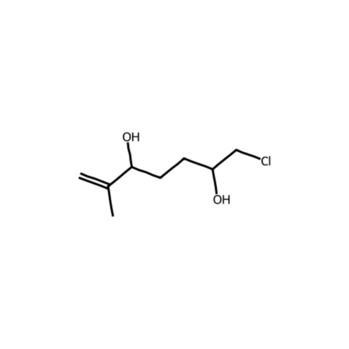 C=C(C)C(O)CCC(O)CCl